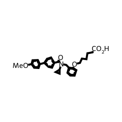 COc1ccc(-c2ccc(C(=O)N(Cc3ccccc3OCCCCCC(=O)O)C3CC3)cc2)cc1